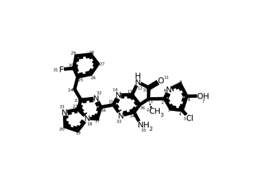 C[C@@]1(c2cc(Cl)c(O)cn2)C(=O)Nc2nc(-c3cn4ccnc4c(Cc4ccccc4F)n3)nc(N)c21